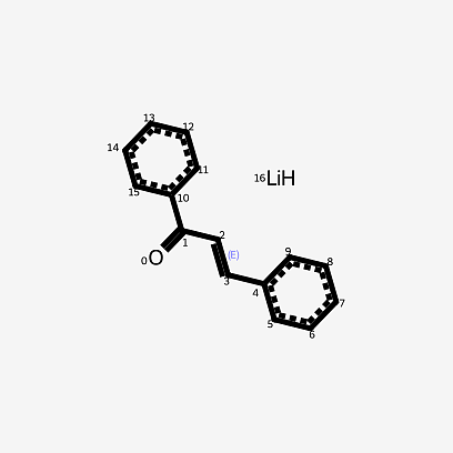 O=C(/C=C/c1ccccc1)c1ccccc1.[LiH]